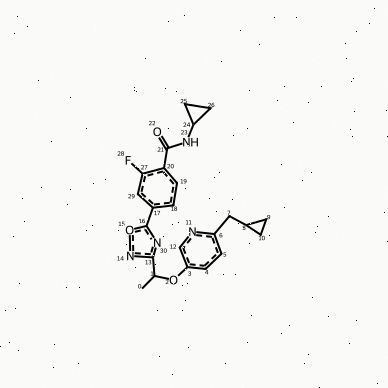 CC(Oc1ccc(CC2CC2)nc1)c1noc(-c2ccc(C(=O)NC3CC3)c(F)c2)n1